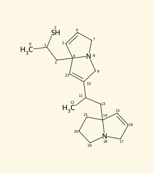 CC(S)CC12C=CCN1CC(C(C)CC13C=CCN1CCC3)=C2